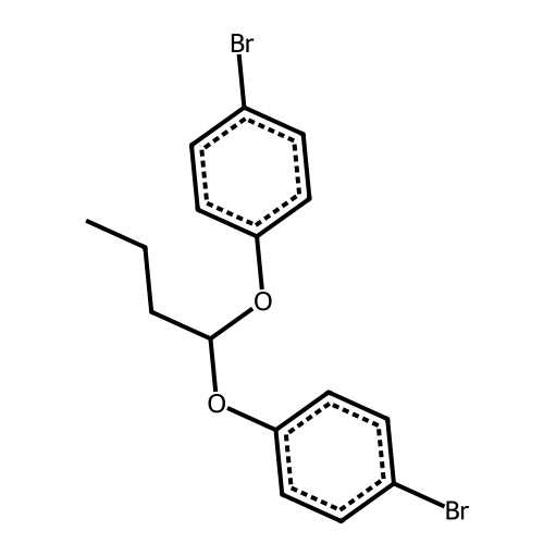 CCCC(Oc1ccc(Br)cc1)Oc1ccc(Br)cc1